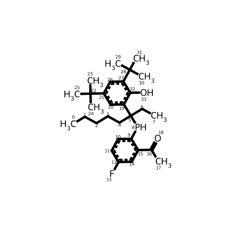 CCCCCC(CC)(Pc1ccc(F)cc1C(C)=O)c1cc(C(C)(C)C)cc(C(C)(C)C)c1O